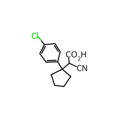 N#CC(C(=O)O)C1(c2ccc(Cl)cc2)CCCC1